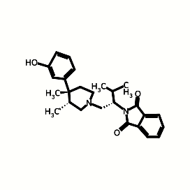 CC(C)[C@@H](CN1CC[C@@](C)(c2cccc(O)c2)[C@@H](C)C1)N1C(=O)c2ccccc2C1=O